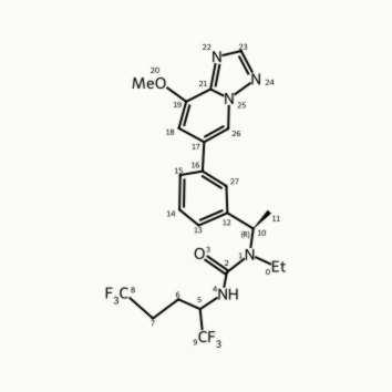 CCN(C(=O)NC(CCC(F)(F)F)C(F)(F)F)[C@H](C)c1cccc(-c2cc(OC)c3ncnn3c2)c1